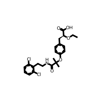 CCO[C@@H](Cc1ccc(OC(C)(C)C(=O)NCCc2c(Cl)cccc2Cl)cc1)C(=O)O